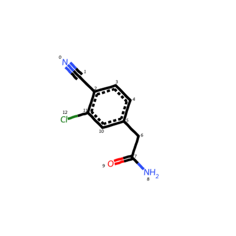 N#Cc1ccc(CC(N)=O)cc1Cl